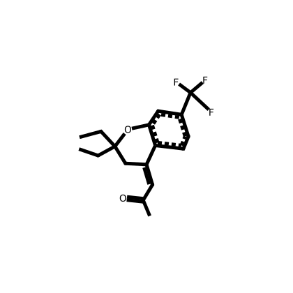 CCC1(CC)C/C(=C\C(C)=O)c2ccc(C(F)(F)F)cc2O1